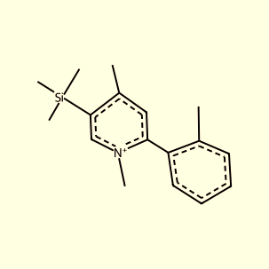 Cc1ccccc1-c1cc(C)c([Si](C)(C)C)c[n+]1C